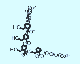 C#CCc1ccccc1C(=O)[O-].C#CCc1ccccc1C(=O)[O-].C#CCc1ccccc1C(=O)[O-].C#CCc1ccccc1C(=O)[O-].[C]=O.[C]=O.[C]=O.[C]=O.[C]=O.[C]=O.[C]=O.[C]=O.[C]=O.[C]=O.[C]=O.[C]=O.[Co+2].[Co+2]